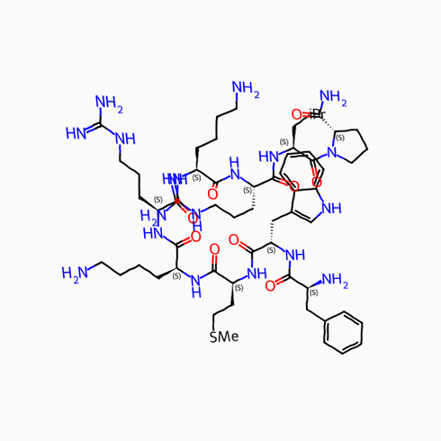 CSCC[C@H](NC(=O)[C@H](Cc1c[nH]c2ccccc12)NC(=O)[C@@H](N)Cc1ccccc1)C(=O)N[C@@H](CCCCN)C(=O)N[C@@H](CCCNC(=N)N)C(=O)N[C@@H](CCCCN)C(=O)N[C@@H](CCCNC(=N)N)C(=O)N[C@@H](CC(C)C)C(=O)N1CCC[C@H]1C(N)=O